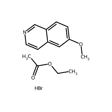 Br.CCOC(C)=O.COc1ccc2cnccc2c1